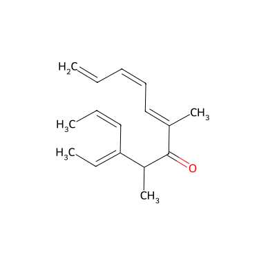 C=C/C=C\C=C(/C)C(=O)C(C)C(/C=C\C)=C/C